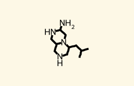 CC(C)CC1CNCC2CNC(N)CN21